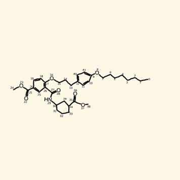 CCCCCCCCOc1ccc(CCCOc2ccc(C(=O)OC)cc2C(=O)NC2CCCC(C(=O)OC)C2)cc1